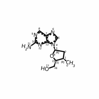 C[C@@H]1C[C@H](n2cnc3cnc(N)nc32)O[C@@H]1CO